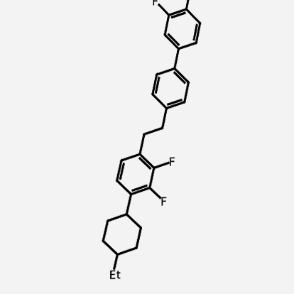 CCCc1ccc(-c2ccc(CCc3ccc(C4CCC(CC)CC4)c(F)c3F)cc2)cc1F